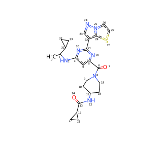 CC(Nc1cc(C(=O)N2CCC(NC(=O)C3CC3)CC2)nc(-c2cnn3ccsc23)n1)C1CC1